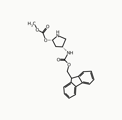 COC(=O)O[C@H]1C[C@@H](NC(=O)OCC2c3ccccc3-c3ccccc32)CN1